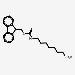 O=C(O)CCCCCCCNC(=O)OCC1c2ccccc2-c2ccccc21